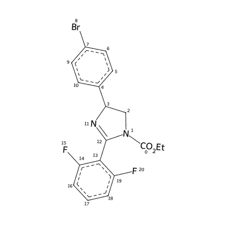 CCOC(=O)N1CC(c2ccc(Br)cc2)N=C1c1c(F)cccc1F